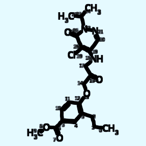 CCCc1cc(C(=O)OC)ccc1OCC(=O)CNc1cnn(C(C)C)c(=O)c1Cl